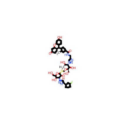 C[C@H](O)C(C(O)[C@@H](CO)OCSC1OC(CO)C(O)C(n2cc(-c3cccc(F)c3)nn2)C1O)n1cc(CNC(=O)c2ccc(C3c4ccc(O)cc4OC4=CC(=O)C=CC43)c(C(=O)O)c2)nn1